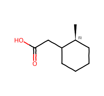 C[C@H]1CCCCC1CC(=O)O